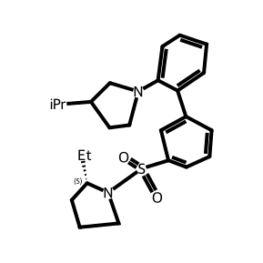 CC[C@H]1CCCN1S(=O)(=O)c1cccc(-c2ccccc2N2CCC(C(C)C)C2)c1